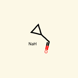 O=CC1CC1.[NaH]